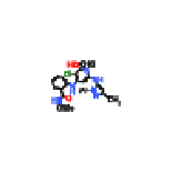 CONC(=O)c1ccccc1Nc1cc(Nc2cc(C)nn2C(C)C)ncc1Cl.O=CO